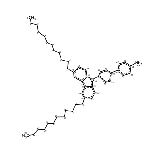 CCCCCCCCCCCCc1ccc2c(c1)c1cc(CCCCCCCCCCCC)ccc1n2-c1ccc(-c2ccc(N)cc2)cc1